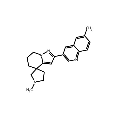 Cc1ccc2ncc(-c3cc4n(n3)CCCC43CCN(C)C3)cc2c1